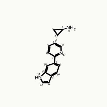 N[C@@H]1C[C@H]1c1ccc(-c2ccc3cc[nH]c3c2)nc1